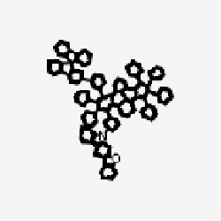 c1ccc(-c2c(-c3ccccc3)c(-c3ccccc3)c3c4cccc5c6c(-c7cccc(-n8c9ccccc9c9cc%10c(cc98)oc8ccccc8%10)c7)c(-c7ccccc7)c(-c7ccccc7)c(-c7cccc(-c8ccc9c(c8)C8(c%10ccccc%10-c%10ccccc%108)c8ccccc8-9)c7)c6c6cccc(c3c2-c2ccccc2)c6c45)cc1